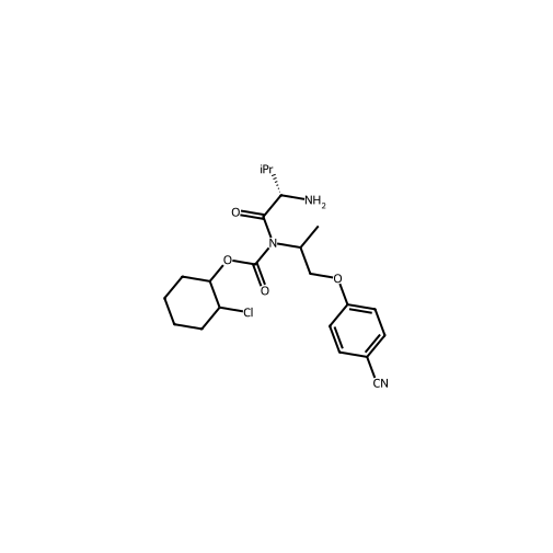 CC(C)[C@H](N)C(=O)N(C(=O)OC1CCCCC1Cl)C(C)COc1ccc(C#N)cc1